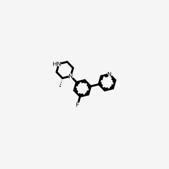 C[C@@H]1CNCCN1c1cc(F)cc(-c2cccnc2)c1